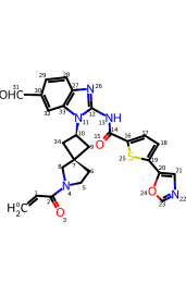 C=CC(=O)N1CC[C@]2(C1)C[C@H](n1c(NC(=O)c3ccc(-c4cnco4)s3)nc3ccc(C=O)cc31)C2